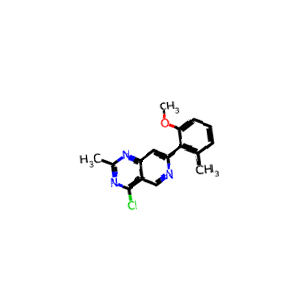 COc1cccc(C)c1-c1cc2nc(C)nc(Cl)c2cn1